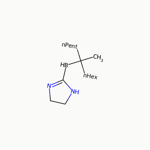 CCCCCCC(C)(BC1=NCCN1)CCCCC